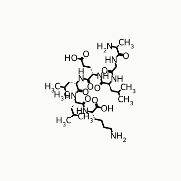 CC(C)C[C@H](NC(=O)CNC(=O)[C@H](C)N)C(=O)N[C@@H](CCC(=O)O)C(=O)N[C@@H](CC(C)C)C(=O)N[C@@H](CC(C)C)C(=O)N[C@@H](CCCCN)C(=O)O